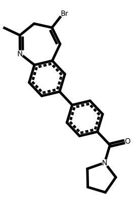 CC1=Nc2ccc(-c3ccc(C(=O)N4CCCC4)cc3)cc2C=C(Br)C1